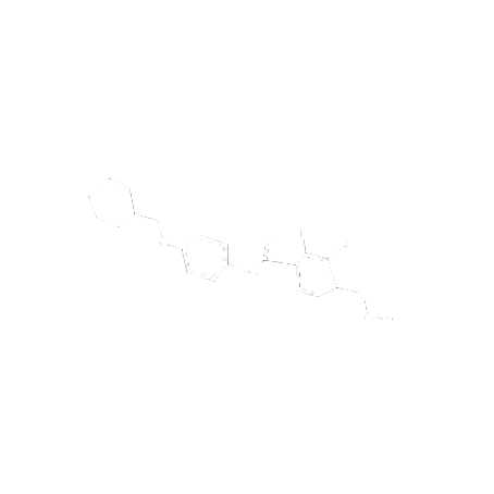 CCCCCCOc1ccc(C(=O)Oc2ccc(OCC3CC[CH]CC3)cc2)c(F)c1F